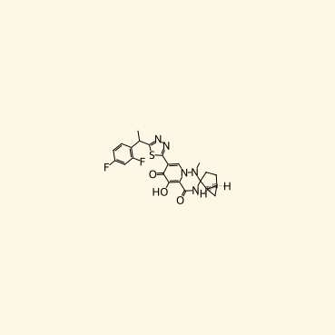 CC(c1nnc(-c2cn3c(c(O)c2=O)C(=O)N(C)C2(CC[C@H]4C[C@H]42)N3C)s1)c1ccc(F)cc1F